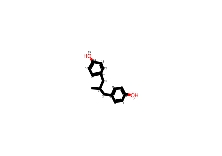 CC(Cc1ccc(O)cc1)Cc1ccc(O)cc1